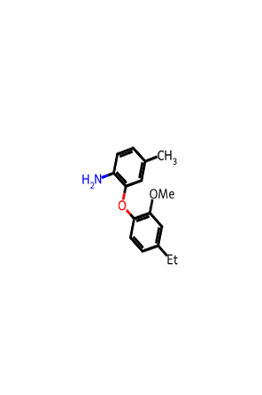 CCc1ccc(Oc2cc(C)ccc2N)c(OC)c1